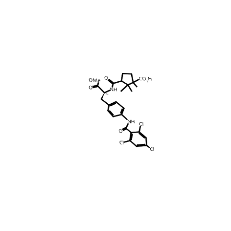 COC(=O)[C@H](Cc1ccc(NC(=O)c2c(Cl)cc(Cl)cc2Cl)cc1)NC(=O)C1CCC(C)(C(=O)O)C1(C)C